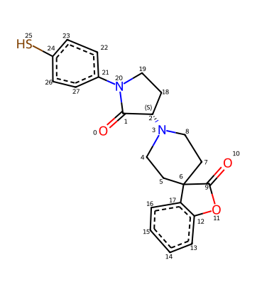 O=C1[C@@H](N2CCC3(CC2)C(=O)Oc2ccccc23)CCN1c1ccc(S)cc1